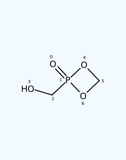 O=P1(CO)OCO1